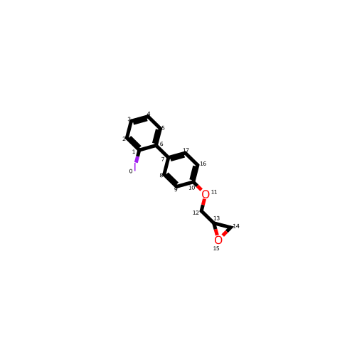 Ic1ccccc1-c1ccc(OCC2CO2)cc1